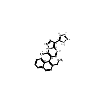 CCc1ccc2ccccc2c1-c1cnc2c(-c3nnn[nH]3)cnn2c1N